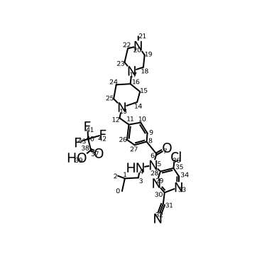 CC(C)CNN(C(=O)c1ccc(CN2CCC(N3CCN(C)CC3)CC2)cc1)c1nc(C#N)ncc1Cl.O=C(O)C(F)(F)F